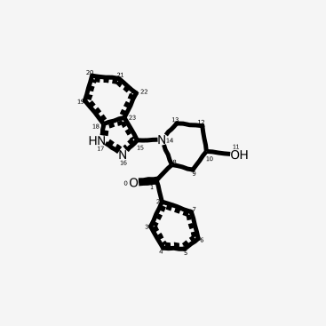 O=C(c1ccccc1)C1CC(O)CCN1c1n[nH]c2ccccc12